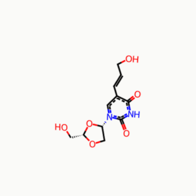 O=c1[nH]c(=O)n([C@@H]2CO[C@H](CO)O2)cc1/C=C/CO